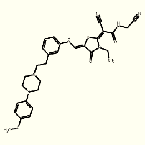 CCn1c(=C(C#N)C(=O)NCC#N)sc(=CNc2cccc(CCN3CCN(c4ccc(OC)cc4)CC3)c2)c1=O